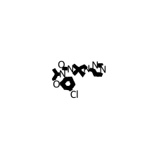 CC1COc2cc(Cl)ccc2N1C(=O)N1CC2(C1)CN(c1ccncn1)C2